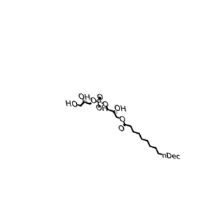 CCCCCCCCCCCCCCCCCCC(=O)OC[C@@H](O)COP(=O)(O)OC[C@@H](O)CO